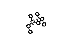 c1ccc(-c2cccc(-c3nc(-c4ccccc4)nc(-c4cccc5c4nc(-c4ccccc4)c4cccc(-c6ccccc6)c45)n3)c2)cc1